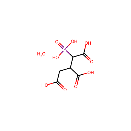 O.O=C(O)CC(C(=O)O)C(C(=O)O)P(=O)(O)O